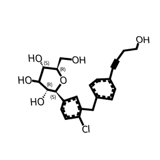 OCCC#Cc1ccc(Cc2cc([C@@H]3O[C@H](CO)[C@@H](O)C(O)[C@H]3O)ccc2Cl)cc1